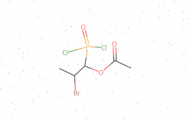 CC(=O)OC(C(C)Br)P(=O)(Cl)Cl